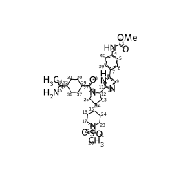 COC(=O)Nc1ccc(-c2cnc(C3C[C@H](C4CCN(S(C)(=O)=O)CC4)CN3C(=O)C3CCC([C@H](C)N)CC3)[nH]2)cc1